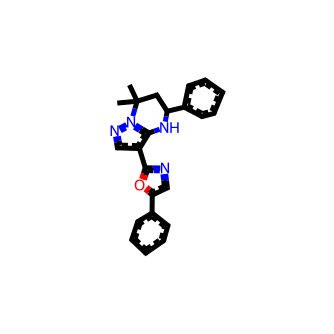 CC1(C)CC(c2ccccc2)Nc2c(-c3ncc(-c4ccccc4)o3)cnn21